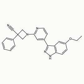 CCOc1ccc2[nH]nc(-c3ccnc(N4CC(C#N)(c5ccccc5)C4)c3)c2c1